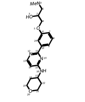 CNCC(O)COc1cccc(-c2nccc(NC3CCOCC3)n2)c1